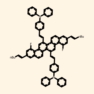 CCCC/C=C/c1cc(F)c2c(ccc3c2cc(/C=C/c2ccc(N(c4ccccc4)c4ccccc4)cc2)c2c4ccc5cc(/C=C/CCCC)cc(F)c5c4cc(/C=C/c4ccc(N(c5ccccc5)c5ccccc5)cc4)c32)c1